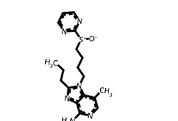 CCCc1nc2c(N)ncc(C)c2n1CCCC[S+]([O-])c1ncccn1